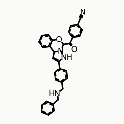 N#Cc1ccc(C(=O)C2Oc3ccccc3C3C=C(c4ccc(CNCc5ccccc5)cc4)NN23)cc1